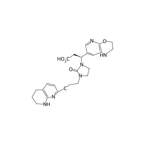 O=C(O)C[C@@H](c1cnc2c(c1)NCCO2)N1CCN(CCCc2ccc3c(n2)NCCC3)C1=O